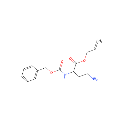 C=CCOC(=O)C(CCN)NC(=O)OCc1ccccc1